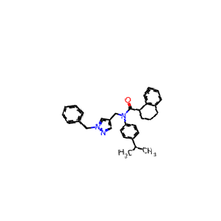 CC(C)c1ccc(N(Cc2cnn(Cc3ccccc3)c2)C(=O)C2CCCc3ccccc32)cc1